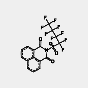 O=C1c2cccc3cccc(c23)C(=O)N1S(=O)(=O)C(F)(F)C(F)(F)C(F)(F)C(F)(F)F